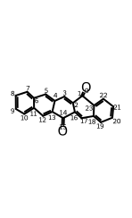 O=C1C2=Cc3cc4ccccc4cc3C(=O)C2=Cc2ccccc21